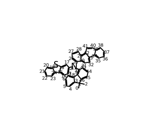 CC1(C)c2ccccc2-c2c(N(c3ccc4c(c3)sc3ccccc34)c3cccc4c3ccc3c5ccccc5ccc43)cccc21